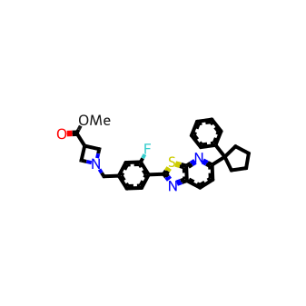 COC(=O)C1CN(Cc2ccc(-c3nc4ccc(C5(c6ccccc6)CCCC5)nc4s3)c(F)c2)C1